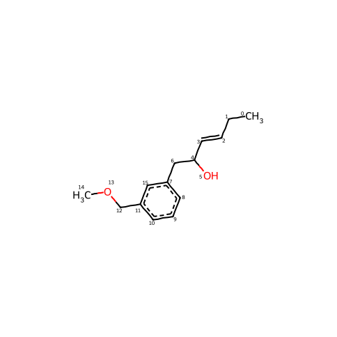 CC/C=C/C(O)Cc1cccc(COC)c1